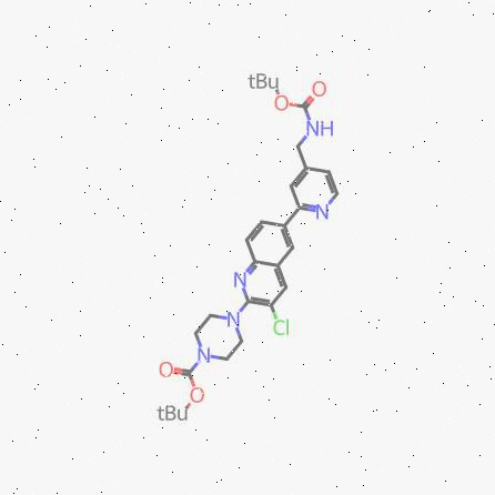 CC(C)(C)OC(=O)NCc1ccnc(-c2ccc3nc(N4CCN(C(=O)OC(C)(C)C)CC4)c(Cl)cc3c2)c1